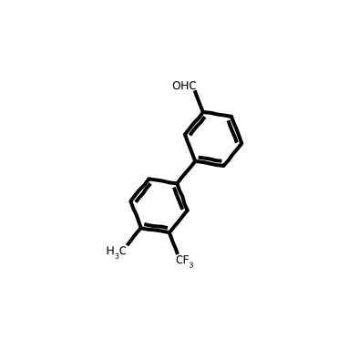 Cc1ccc(-c2cccc(C=O)c2)cc1C(F)(F)F